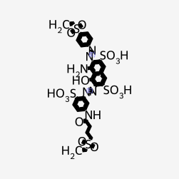 C=CS(=O)(=O)CCCC(=O)Nc1ccc(S(=O)(=O)O)c(/N=N/c2c(S(=O)(=O)O)cc3cc(S(=O)(=O)O)c(/N=N/c4ccc(S(=O)(=O)C=C)cc4)c(N)c3c2O)c1